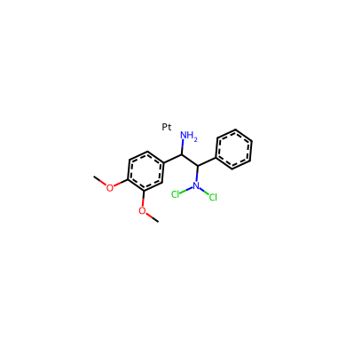 COc1ccc(C(N)C(c2ccccc2)N(Cl)Cl)cc1OC.[Pt]